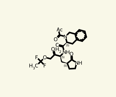 C=C(N[C@@H](C[C@@H]1CCNC1=O)C(=O)COC(C)(F)F)[C@@H]1Cc2ccccc2CN1C(=O)C(C)=O